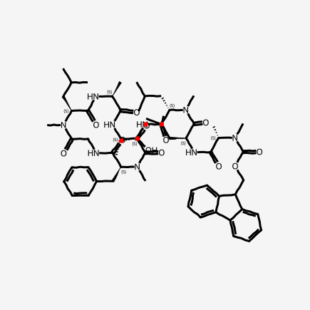 CC(C)C[C@H](NC(=O)[C@H](C)N(C)C(=O)OCC1c2ccccc2-c2ccccc21)C(=O)N(C)[C@@H](CC(C)C)C(=O)N[C@@H](C)C(=O)N(C)[C@@H](Cc1ccccc1)C(=O)NCC(=O)N(C)[C@@H](CC(C)C)C(=O)N[C@@H](C)C(=O)N[C@@H](C)C(=O)O